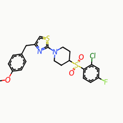 CCOc1ccc(Cc2csc(N3CCC(S(=O)(=O)c4ccc(F)cc4Cl)CC3)n2)cc1